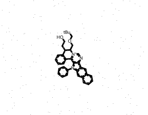 CC(C)(C)COCC1C(CCO)c2ccccc2-c2c3c(nc[n+]21)c1cc2ccccc2cc1n3-c1ccccc1